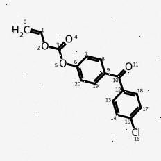 C=COC(=O)Oc1ccc(C(=O)c2ccc(Cl)cc2)cc1